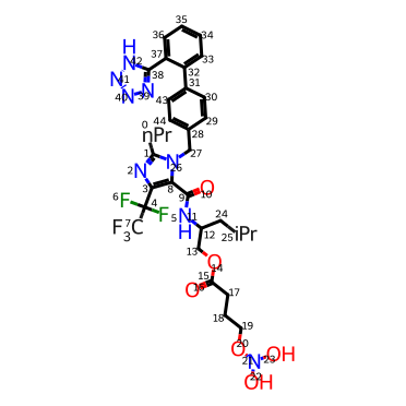 CCCc1nc(C(F)(F)C(F)(F)F)c(C(=O)NC(COC(=O)CCCON(O)O)CC(C)C)n1Cc1ccc(-c2ccccc2-c2nnn[nH]2)cc1